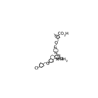 Cl.Cn1cc(COCCN2CCN(c3nc(N)nc4c3CCc3cc(OCc5ccc(Cl)cc5)ccc3-4)CC2)cc1C(=O)O